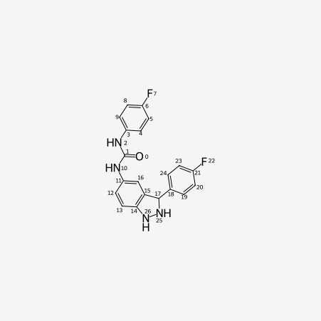 O=C(Nc1ccc(F)cc1)Nc1ccc2c(c1)C(c1ccc(F)cc1)NN2